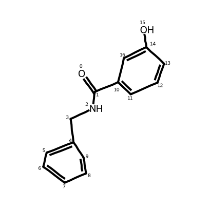 O=C(NCc1ccccc1)c1cccc(O)c1